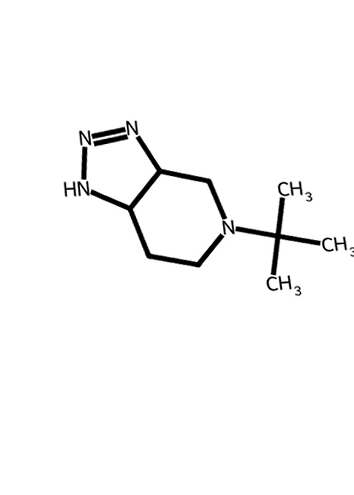 CC(C)(C)N1CCC2NN=NC2C1